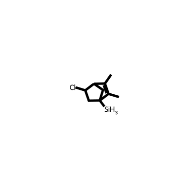 CC1=C(C)C2([SiH3])CC(Cl)C1C2